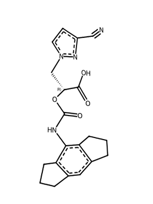 N#Cc1ccn(C[C@@H](OC(=O)Nc2c3c(cc4c2CCC4)CCC3)C(=O)O)n1